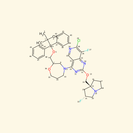 CC(C)(C)[Si](OCC1CN(c2nc(OC[C@@]34CCCN3C[C@H](F)C4)nc3c(F)c(Cl)ncc23)CCCO1)(c1ccccc1)c1ccccc1